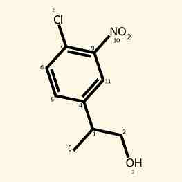 [CH2]C(CO)c1ccc(Cl)c([N+](=O)[O-])c1